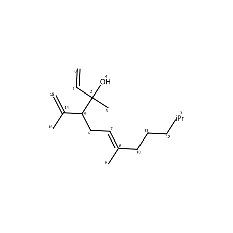 C=CC(C)(O)C(CC=C(C)CCCC(C)C)C(=C)C